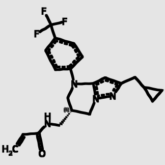 C=CC(=O)NC[C@@H]1CN(c2ccc(C(F)(F)F)cc2)c2cc(CC3CC3)nn2C1